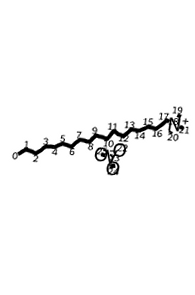 CCCCCCCCCCCCCCCCCC[N+](C)(C)C.[O]=[V](=[O])[O-]